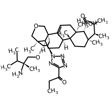 CCC(=O)c1nnn([C@@H]2C[C@@]34COC[C@@](C)([C@@H]3CC[C@H]3C4=CC[C@@]4(C)[C@H](C(=O)O)[C@@](C)([C@H](C)C(C)C)CC[C@]34C)[C@H]2OC[C@](C)(N)C(C)C)n1